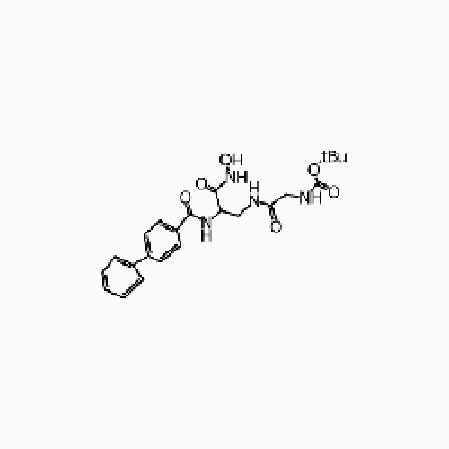 CC(C)(C)OC(=O)NCC(=O)NCC(NC(=O)c1ccc(-c2ccccc2)cc1)C(=O)NO